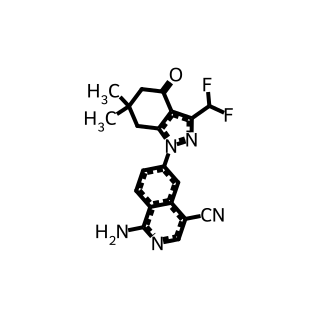 CC1(C)CC(=O)c2c(C(F)F)nn(-c3ccc4c(N)ncc(C#N)c4c3)c2C1